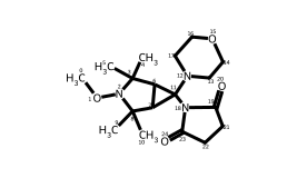 CON1C(C)(C)C2C(C1(C)C)C2(N1CCOCC1)N1C(=O)CCC1=O